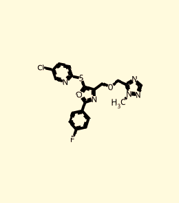 Cn1ncnc1COCc1nc(-c2ccc(F)cc2)oc1Sc1ccc(Cl)cn1